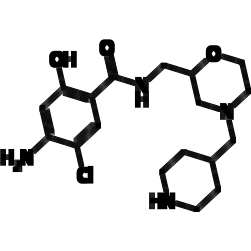 Nc1cc(O)c(C(=O)NCC2CN(CC3CCNCC3)CCO2)cc1Cl